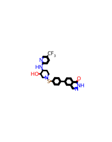 O=c1[nH]ncc2cc(-c3ccc(SN4CCC(Nc5ccc(C(F)(F)F)cn5)C(O)C4)cc3)ccc12